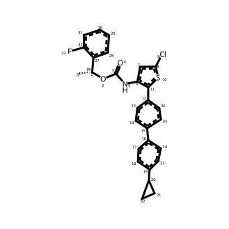 C[C@@H](OC(=O)Nc1cc(Cl)sc1-c1ccc(-c2ccc(C3CC3)cc2)cc1)c1ccccc1F